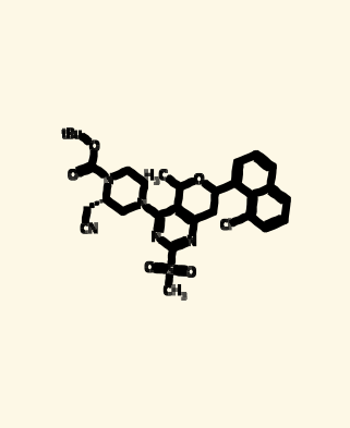 CC1OC(c2cccc3cccc(Cl)c23)Cc2nc(S(C)(=O)=O)nc(N3CCN(C(=O)OC(C)(C)C)[C@@H](CC#N)C3)c21